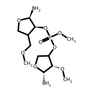 B[C@@H]1OCC(COC)[C@@H]1OP(=O)(OC)OC1CO[C@@H](B)[C@H]1OC